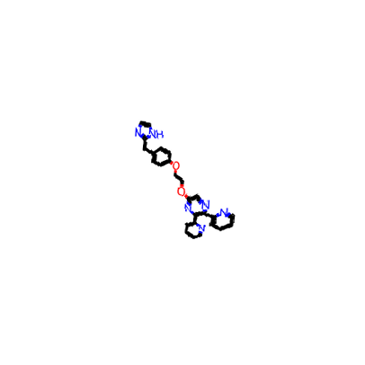 c1ccc(-c2ncc(OCCOc3ccc(Cc4ncc[nH]4)cc3)nc2-c2ccccn2)nc1